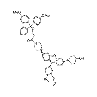 COc1ccc(C(OCCC(=O)N2CC[N+](=c3ccc4c(-c5ccc6c(c5)SC5(CC5)CN6)c5ccc(N6CCC(O)CC6)cc5oc-4c3)CC2)(c2ccccc2)c2ccc(OC)cc2)cc1